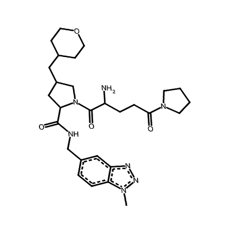 Cn1nnc2cc(CNC(=O)C3CC(CC4CCOCC4)CN3C(=O)C(N)CCC(=O)N3CCCC3)ccc21